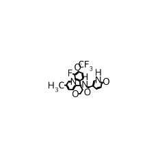 Cc1cnc2c(c1)OCC[C@]2(NC(=O)c1ccc(=O)[nH]c1)c1ccc(OC(F)(F)F)c(F)c1